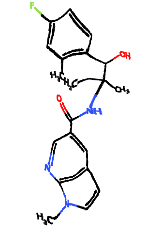 Cc1cc(F)ccc1C(O)C(C)(C)NC(=O)c1cnc2c(ccn2C)c1